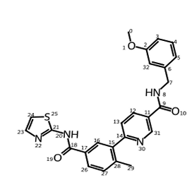 COc1cccc(CNC(=O)c2ccc(-c3cc(C(=O)Nc4nccs4)ccc3C)nc2)c1